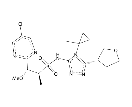 CO[C@H](c1ncc(Cl)cn1)[C@H](C)S(=O)(=O)Nc1nnc([C@H]2CCOC2)n1C1(C)CC1